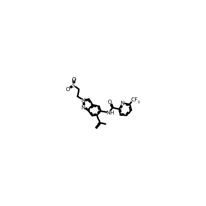 C=C(C)c1cc2nn(CC[SH](=O)=O)cc2cc1NC(=O)c1cccc(C(F)(F)F)n1